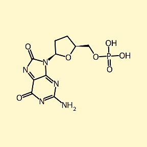 NC1=NC(=O)C2=NC(=O)N([C@H]3CC[C@@H](COP(=O)(O)O)O3)C2=N1